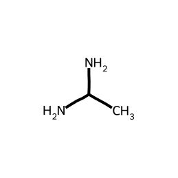 CC(N)N